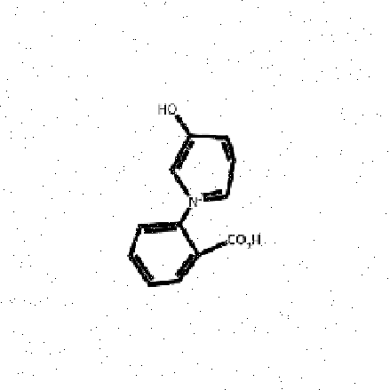 O=C(O)c1ccccc1-[n+]1cccc(O)c1